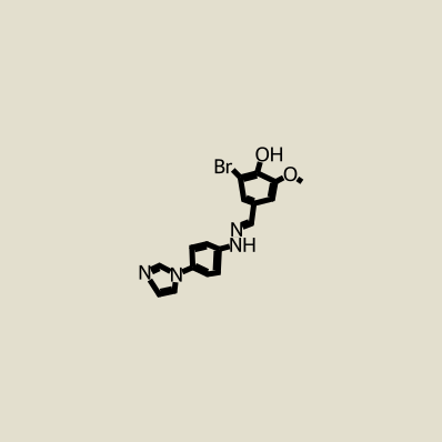 COc1cc(C=NNc2ccc(-n3ccnc3)cc2)cc(Br)c1O